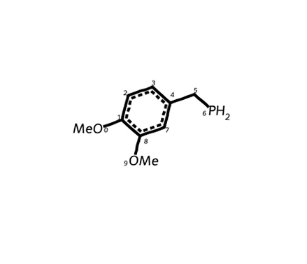 COc1ccc(CP)cc1OC